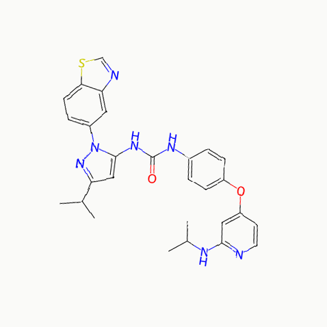 CC(C)Nc1cc(Oc2ccc(NC(=O)Nc3cc(C(C)C)nn3-c3ccc4scnc4c3)cc2)ccn1